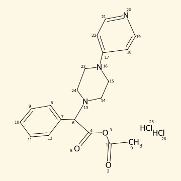 CC(=O)OC(=O)C(c1ccccc1)N1CCN(c2ccncc2)CC1.Cl.Cl